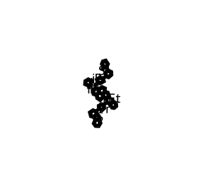 CCc1cccc(C(C)C)c1N(c1ccc(-c2cccc3c2sc2ccccc23)cc1)c1ccc2ccc3c(N(c4ccc(-c5cccc6c5sc5ccccc56)cc4)c4c(C(C)C)cccc4C(C)C)ccc4ccc1c2c43